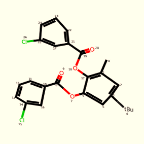 Cc1cc(C(C)(C)C)cc(OC(=O)c2cccc(Cl)c2)c1OC(=O)c1cccc(Cl)c1